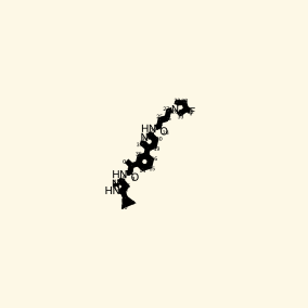 CC(C(=O)Nc1cc(C2CC2)[nH]n1)c1cccc(-c2ccc(NC(=O)C=CCN3CCC(F)C3)nc2)c1